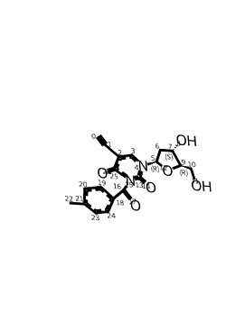 C#Cc1cn([C@H]2C[C@H](O)[C@@H](CO)O2)c(=O)n(C(=O)c2ccc(C)cc2)c1=O